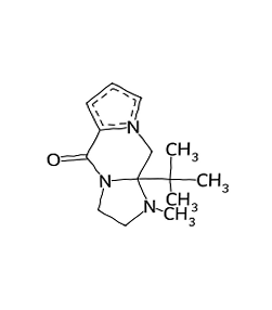 CN1CCN2C(=O)c3cccn3CC12C(C)(C)C